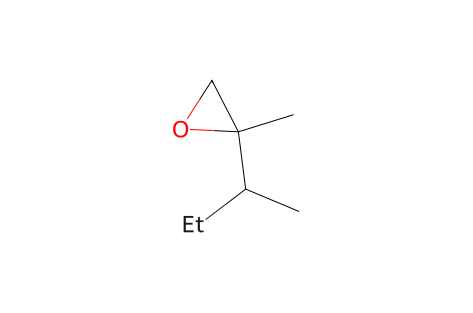 CCC(C)C1(C)CO1